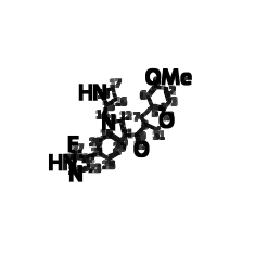 COc1ccc2c(c1)CC(C(=O)c1cn(C[C@@H]3CCN3)c3cc(-c4cn[nH]c4F)ccc13)CO2